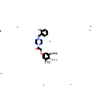 COc1cc(OCC(=O)N2CCN(Cc3ccccc3Cl)CC2)cc(OC)c1OC